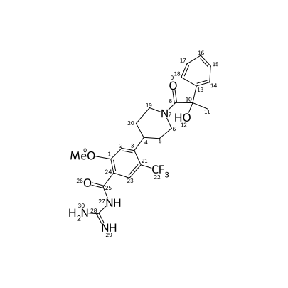 COc1cc(C2CCN(C(=O)C(C)(O)c3ccccc3)CC2)c(C(F)(F)F)cc1C(=O)NC(=N)N